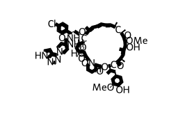 CO[C@@H]1C[C@@H](CC(C)[C@@H]2CC(=O)[C@H](C)/C=C(\C)[C@@H](O)[C@@H](OC)C(=O)[C@H](C)C[C@H](C)/C=C/C=C/C=C(/C)[C@@H](OCC[C@H](NC(=O)C3(N)CCN(c4ncnc5[nH]ccc45)CC3)c3ccc(Cl)cc3)C[C@@H]3CC[C@@H](C)[C@@](O)(O3)C(=O)C(=O)N3CCCC[C@H]3C(=O)O2)CC[C@H]1O